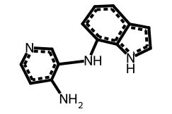 Nc1ccncc1Nc1cccc2cc[nH]c12